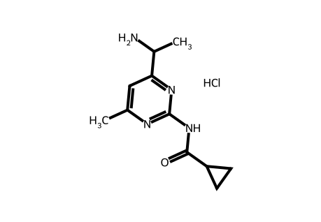 Cc1cc(C(C)N)nc(NC(=O)C2CC2)n1.Cl